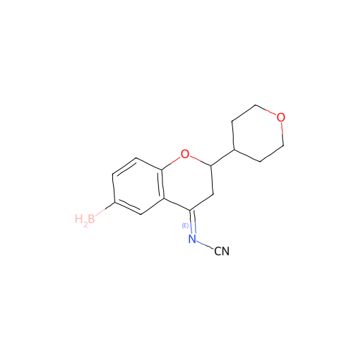 Bc1ccc2c(c1)/C(=N/C#N)CC(C1CCOCC1)O2